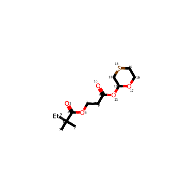 CCC(C)(C)C(=O)OCCC(=O)OC1CSCCO1